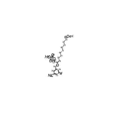 CCCCCCCCCCCCCCCCCCCC(COP(=O)(O)O)OCc1cc(F)cc(C#N)c1